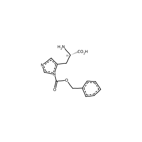 N[C@@H](Cc1cncn1C(=O)OCc1ccccc1)C(=O)O